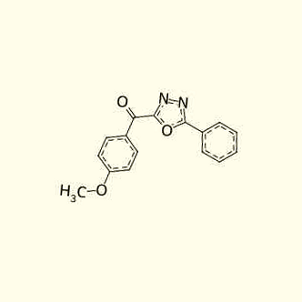 COc1ccc(C(=O)c2nnc(-c3ccccc3)o2)cc1